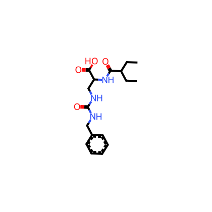 CCC(CC)C(=O)NC(CNC(=O)NCc1ccccc1)C(=O)O